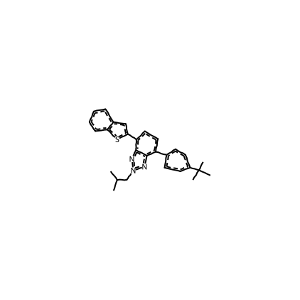 CC(C)Cn1nc2c(-c3ccc(C(C)(C)C)cc3)ccc(-c3cc4ccccc4s3)c2n1